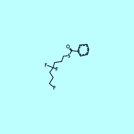 O=C(SCCCC(F)(F)CCCF)c1ccccc1